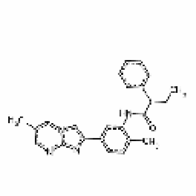 CCC(C(=O)Nc1cc(-c2cn3cc(C)cnc3n2)ccc1C)c1ccccc1